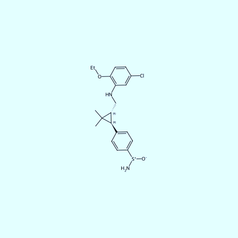 CCOc1ccc(Cl)cc1NC[C@@H]1[C@@H](c2ccc([S+](N)[O-])cc2)C1(C)C